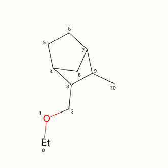 CCOCC1C2CCC(C2)C1C